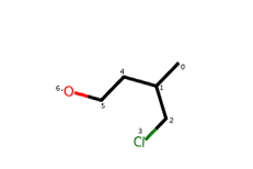 CC(CCl)CC[O]